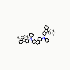 CC1(C)c2ccccc2-c2ccc(N(c3ccccc3)c3ccc4c(ccc5ccc(N(c6ccccc6)c6ccc7c(c6)C(C)(C)c6ccccc6-7)cc54)c3)cc21